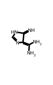 N=C1NC=NC1=C(N)N